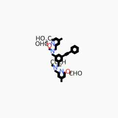 Cc1cc(CN(CC(=O)O)Cc2cc(C#Cc3ccccc3)cc(CN(COC=O)Cc3cc(C)cc(C(=O)O)n3)c2)nc(OC=O)c1